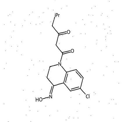 CC(C)CC(=O)CC(=O)N1CCC(=NO)c2cc(Cl)ccc21